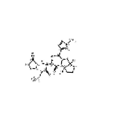 Cn1ccc(C(=O)N2C[C@@H]3CCC[C@@H]3[C@H]2C(=O)NC(C[C@@H]2CCNC2=O)C(=O)COC(F)(F)F)n1